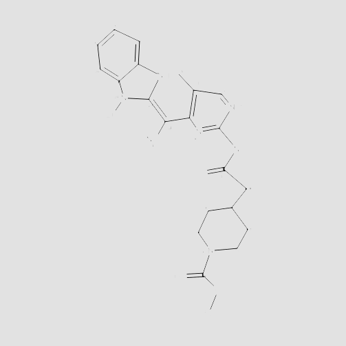 CCCCOC(=O)N1CCC(CC(=O)Nc2ncc(C)c(C(C#N)=C3Nc4ccccc4N3CC)n2)CC1